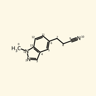 Cn1ncc2cc(CCC#N)ccc21